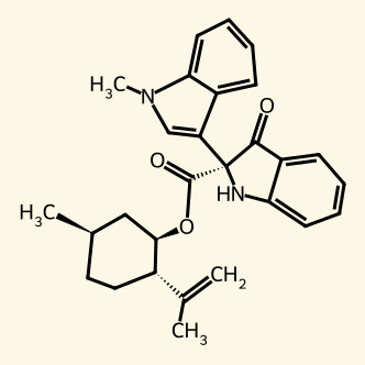 C=C(C)[C@@H]1CC[C@@H](C)C[C@H]1OC(=O)[C@@]1(c2cn(C)c3ccccc23)Nc2ccccc2C1=O